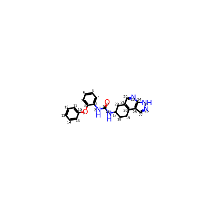 O=C(Nc1ccccc1Oc1ccccc1)NC1CCc2c(cnc3[nH]ncc23)C1